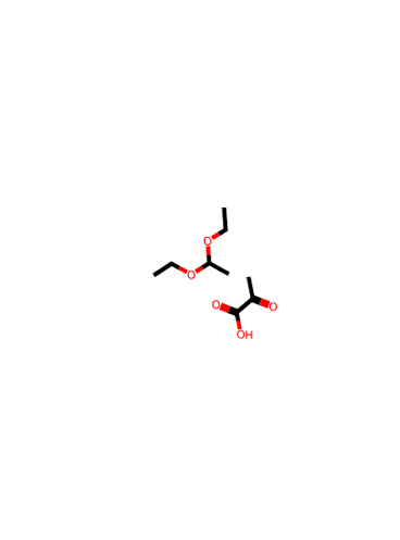 CC(=O)C(=O)O.CCOC(C)OCC